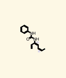 C=C/C(=C\C=C/C)NC(=O)Nc1ccccc1